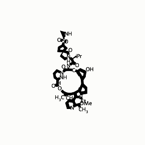 CCn1c(-c2cccnc2[C@H](C)OC)c2c3cc(ccc31)-c1cc(O)cc(c1)C[C@H](NC(=O)[C@H](C(C)C)N1CC[C@]3(CCC(S(=O)(=O)[C@H]4CN4)C3)C1=O)C(=O)N1CCC[C@H](N1)C(=O)OCC(C)(C)C2